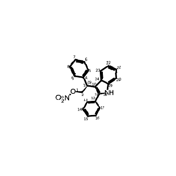 O=[N+]([O-])OC[C@@H](c1ccccc1)c1c(-c2ccccc2)[nH]c2ccccc12